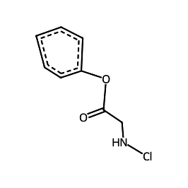 O=C(CNCl)Oc1ccccc1